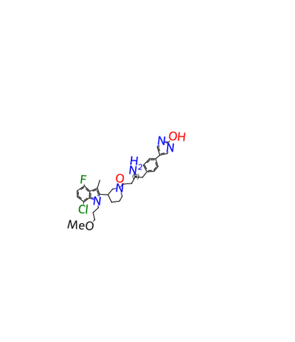 COCCCn1c(C2CCCN(C(=O)C[C@H](N)Cc3ccc(-c4cnc(O)nc4)cc3)C2)c(C)c2c(F)ccc(Cl)c21